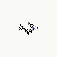 C=C/C=C(\C=C(C)C)CNC1=CC2(C)C=C(/C(C)=C(/CC)c3ccc(F)cc3)C(C)=C2C(C)=N1